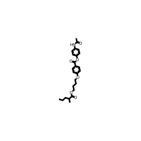 CCCC(C)C(=O)OCCCCOc1ccc(C(=O)Oc2ccc(NC(C)=O)cc2)cc1